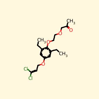 CCc1cc(OCC=C(Cl)Cl)cc(CC)c1OCCOCC(C)=O